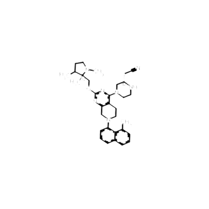 Cc1cccc2cccc(N3CCc4c(nc(OC[C@]5(C)C(C)CCN5C)nc4N4CCN[C@@H](CC#N)C4)C3)c12